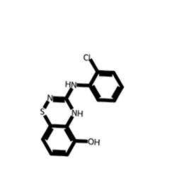 Oc1cccc2c1NC(Nc1ccccc1Cl)=NS2